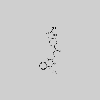 C[C@@H](NC(=O)CCC(=O)N1CCC2(CC1)CNC(=N)N2)c1ccccc1